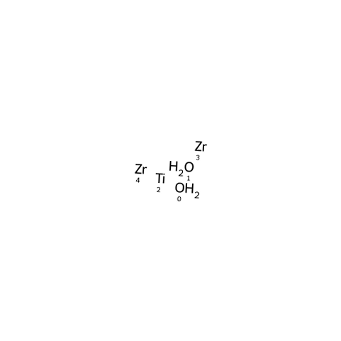 O.O.[Ti].[Zr].[Zr]